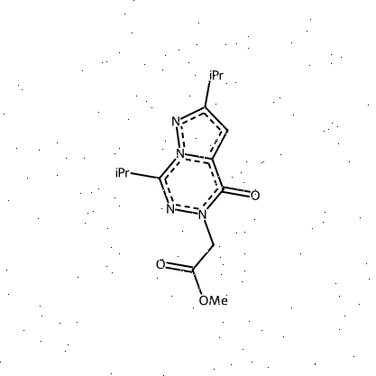 COC(=O)Cn1nc(C(C)C)n2nc(C(C)C)cc2c1=O